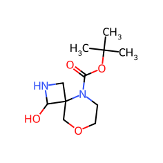 CC(C)(C)OC(=O)N1CCOCC12CNC2O